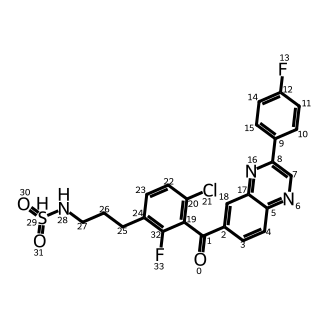 O=C(c1ccc2ncc(-c3ccc(F)cc3)nc2c1)c1c(Cl)ccc(CCCN[SH](=O)=O)c1F